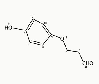 O=[C]CCOc1ccc(O)cc1